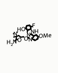 COc1ccc2nc(OCCCC(C)(C(N)=O)N(C)C)nc(Nc3c(F)ccc(O)c3C)c2c1